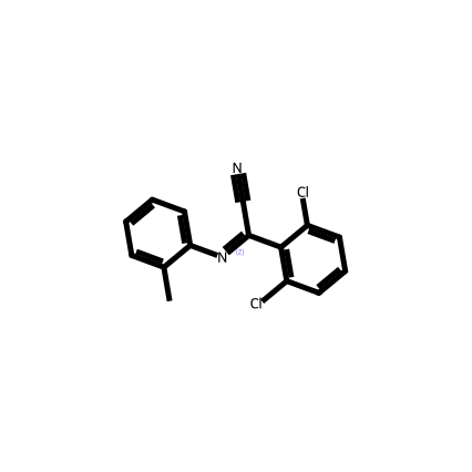 Cc1ccccc1/N=C(\C#N)c1c(Cl)cccc1Cl